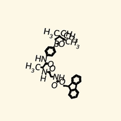 CC(NC(=O)CNC(=O)OCC1c2ccccc2-c2ccccc21)C(=O)Nc1ccc(B2CC(C)(C)C(C)(C)O2)cc1